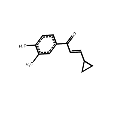 Cc1ccc(C(=O)/C=C/C2CC2)cc1C